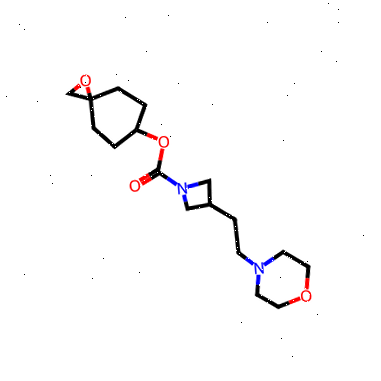 O=C(OC1CCC2(CC1)CO2)N1CC(CCN2CCOCC2)C1